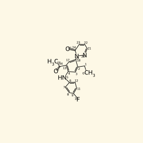 CCc1cc(Nc2ccc(F)cc2)c(C(C)=O)cc1-n1ncccc1=O